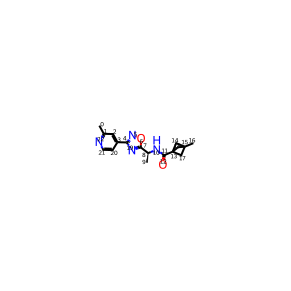 Cc1cc(-c2noc([C@H](C)NC(=O)C34CC(C)(C3)C4)n2)ccn1